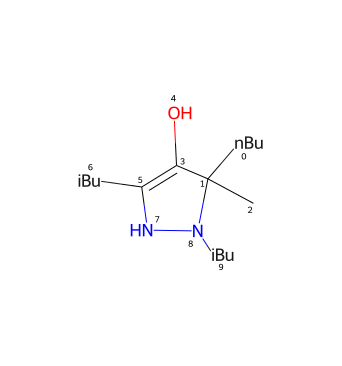 CCCCC1(C)C(O)=C(C(C)CC)NN1C(C)CC